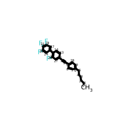 CCCCCCc1ccc(C#Cc2ccc(-c3cc(F)c(F)c(F)c3)c(F)c2)cc1